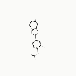 CC(=O)Nc1ccc(-c2nc3cc(F)ccc3[se]2)cc1Br